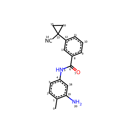 Cc1ccc(NC(=O)c2cccc(C3(C#N)CC3)c2)cc1N